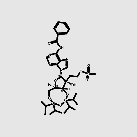 CC(C)[Si]1(C(C)C)OC[C@H]2O[C@@H](n3cnc4c(NC(=O)c5ccccc5)ncnc43)[C@](O)(CCOS(C)(=O)=O)[C@@H]2O[Si](C(C)C)(C(C)C)O1